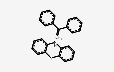 C=C(c1ccccc1)c1ccccc1.c1ccc2c(c1)Nc1ccccc1S2